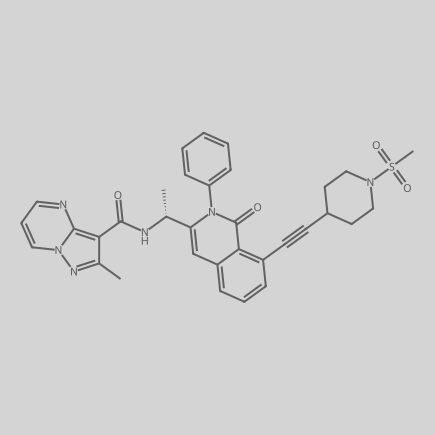 Cc1nn2cccnc2c1C(=O)N[C@H](C)c1cc2cccc(C#CC3CCN(S(C)(=O)=O)CC3)c2c(=O)n1-c1ccccc1